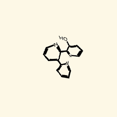 Oc1cccnc1-c1ncccc1-c1ccccn1